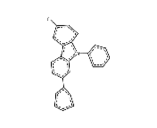 Clc1ccc2c(c1)c1ccc(-c3ccccc3)cc1n2-c1ccccc1